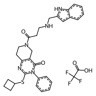 O=C(CCNCc1cc2ccccc2[nH]1)N1CCc2nc(SC3CCC3)n(-c3ccccc3)c(=O)c2C1.O=C(O)C(F)(F)F